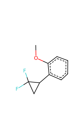 COc1ccccc1C1CC1(F)F